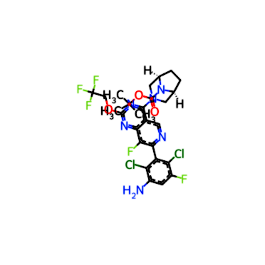 CC(C)(C)OC(=O)N1[C@@H]2CC[C@H]1CN(c1nc(OCC(F)(F)F)nc3c(F)c(-c4c(Cl)c(N)cc(F)c4Cl)ncc13)C2